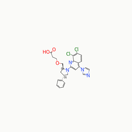 O=C(O)CCOC[C@@H]1C[C@@H](c2ccccc2)CN1c1cc(-n2ccnc2)c2ccc(Cl)c(Cl)c2n1